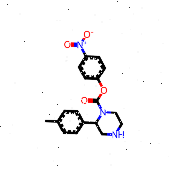 Cc1ccc(C2CNCCN2C(=O)Oc2ccc([N+](=O)[O-])cc2)cc1